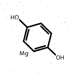 Oc1ccc(O)cc1.[Mg]